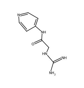 N=C(N)NCC(=O)Nc1ccncc1